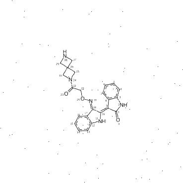 O=C1Nc2ccccc2/C1=C1/Nc2ccccc2/C1=N\OCC(=O)N1CC2(CNC2)C1